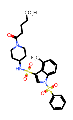 O=C(O)CCCC(=O)N1CCC(NS(=O)(=O)c2cn(S(=O)(=O)c3ccccc3)c3cccc(C(F)(F)F)c23)CC1